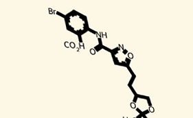 CC1(C)OCC(CCc2cc(C(=O)Nc3ccc(Br)cc3C(=O)O)no2)O1